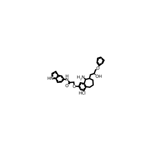 Cl.NC1c2cc(OCC(=O)Nc3ccc4[nH]ccc4c3)ccc2CCCC1C[C@H](O)COc1ccccc1